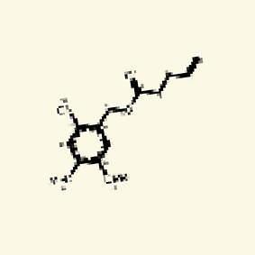 C=CCCC(=O)OCc1cc(OC)c(OC)cc1N=O